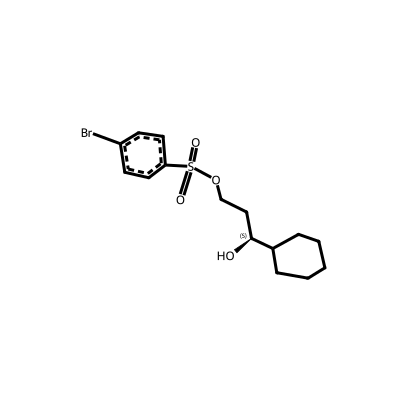 O=S(=O)(OCC[C@H](O)C1CCCCC1)c1ccc(Br)cc1